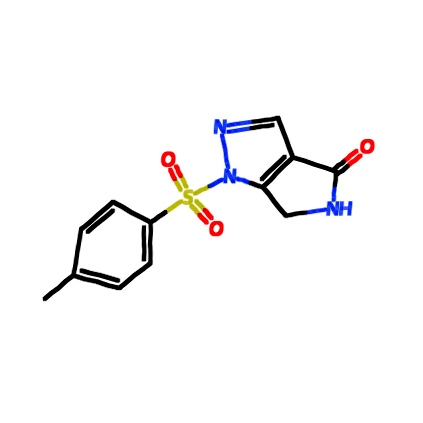 Cc1ccc(S(=O)(=O)n2ncc3c2CNC3=O)cc1